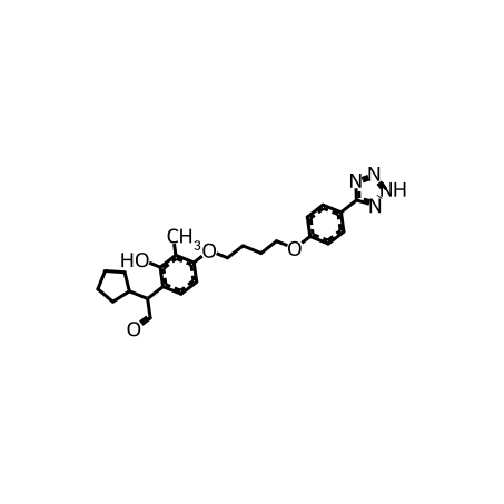 Cc1c(OCCCCOc2ccc(-c3nn[nH]n3)cc2)ccc(C(C=O)C2CCCC2)c1O